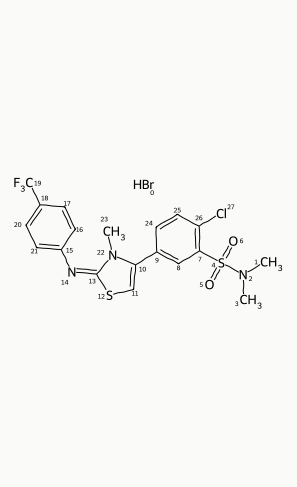 Br.CN(C)S(=O)(=O)c1cc(-c2csc(=Nc3ccc(C(F)(F)F)cc3)n2C)ccc1Cl